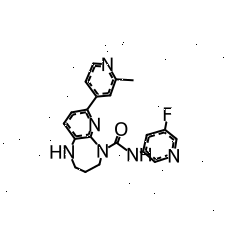 Cc1cc(-c2ccc3c(n2)N(C(=O)Nc2cncc(F)c2)CCCN3)ccn1